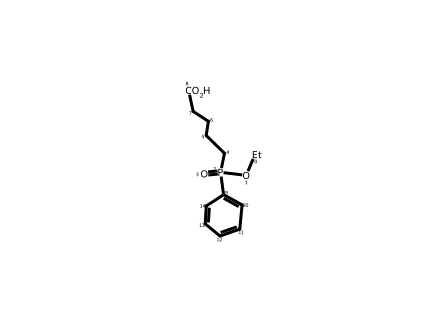 CCOP(=O)(CCCCC(=O)O)c1ccccc1